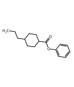 CCCC1CCC(C(=O)Oc2cc[c]cc2)CC1